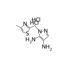 Cc1csc(Cn2ncc(N)c2N)n1.Cl.Cl